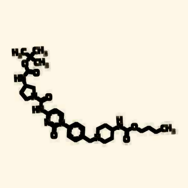 CCCCOC(=O)NC1CCN(Cc2ccc(-n3ccc(NC(=O)N4CC[C@@H](NC(=O)OC(C)(C)C)C4)nc3=O)cc2)CC1